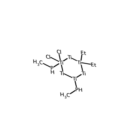 C[CH2][Ti]1([CH2]C)[Ti][Ti]([PH]C)[Ti][Ti]([Cl])([Cl])([PH]C)[Ti]1